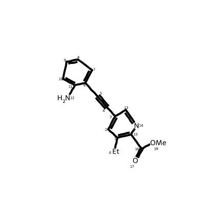 CCc1cc(C#Cc2ccccc2N)cnc1C(=O)OC